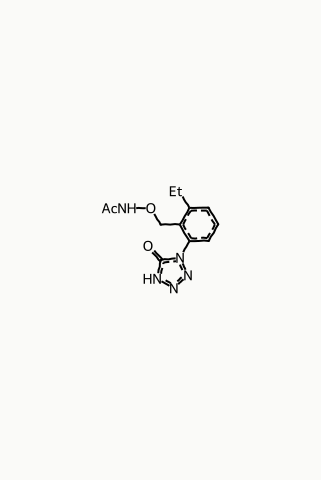 CCc1cccc(-n2nn[nH]c2=O)c1CONC(C)=O